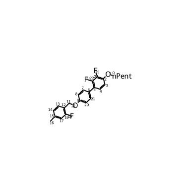 CCCCCOc1ccc(-c2ccc(OCc3ccc(C)cc3F)cc2)c(F)c1F